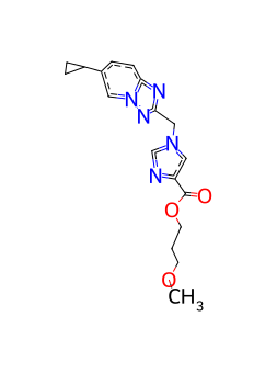 COCCCOC(=O)c1cn(Cc2nc3ccc(C4CC4)cn3n2)cn1